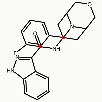 O=C(NC1CC2COCC(C1)N2Cc1cccc(F)c1)c1n[nH]c2ccccc12